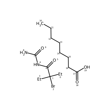 CCC(Br)(CC)C(=O)NC(N)=O.CCCCCCCC(=O)O